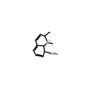 COC1C=CC=C2C=CC(C)N(C)C21